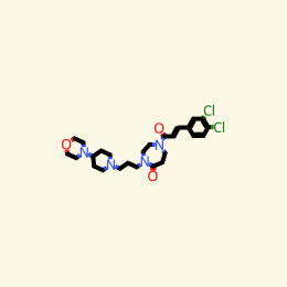 O=C(/C=C/c1ccc(Cl)c(Cl)c1)N1CCC(=O)N(CCCN2CCC(N3CCOCC3)CC2)CC1